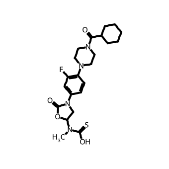 CN(C(O)=S)C1CN(c2ccc(N3CCN(C(=O)C4CCCCC4)CC3)c(F)c2)C(=O)O1